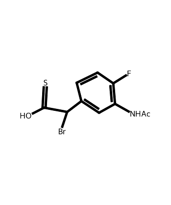 CC(=O)Nc1cc(C(Br)C(O)=S)ccc1F